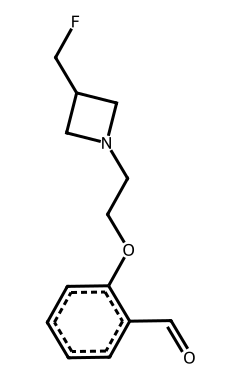 O=Cc1ccccc1OCCN1CC(CF)C1